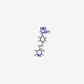 C(=Cc1ccc(-c2cnn[nH]2)cc1)c1ccncc1